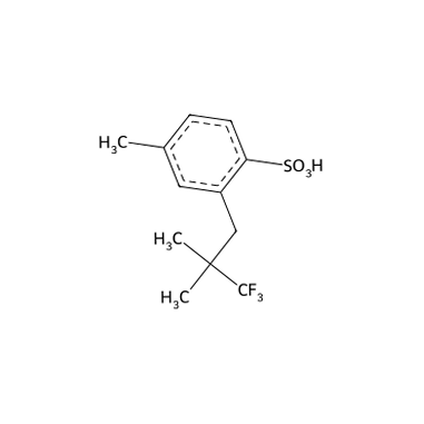 Cc1ccc(S(=O)(=O)O)c(CC(C)(C)C(F)(F)F)c1